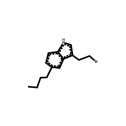 CCCCc1ccc2[nH]cc(CCBr)c2c1